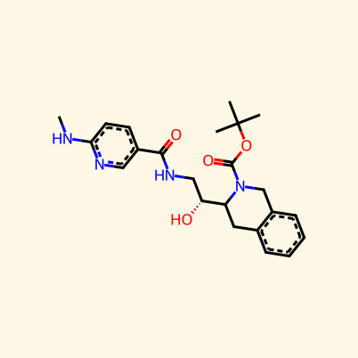 CNc1ccc(C(=O)NC[C@@H](O)C2Cc3ccccc3CN2C(=O)OC(C)(C)C)cn1